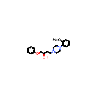 COc1ccccc1N1CCN(CCC(O)COc2ccccc2)CC1